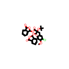 COc1ccc(CC(OC(C)(C)C)(C(=O)OC2OC(=O)c3ccccc32)C(=O)OC2OC(=O)c3ccccc32)cc1Cl